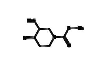 CSC1CN(C(=O)OC(C)(C)C)CCC1=O